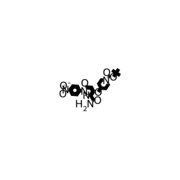 CC(C)(C)OC(=O)N1CCC(Oc2cc(=O)n(-c3ccc([N+](=O)[O-])cc3)nc2C(N)=O)CC1